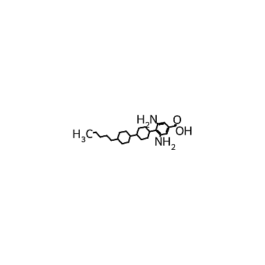 CCCCCC1CCC(C2CCC(c3c(N)cc(C(=O)O)cc3N)CC2)CC1